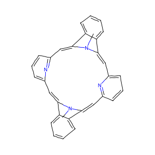 Cn1c2cc3cccc(cc4c5ccccc5c(cc5cccc(cc1c1ccccc12)n5)n4C)n3